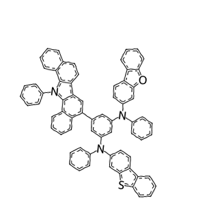 c1ccc(N(c2cc(-c3cc4c5ccc6ccccc6c5n(-c5ccccc5)c4c4ccccc34)cc(N(c3ccccc3)c3ccc4c(c3)sc3ccccc34)c2)c2ccc3c(c2)oc2ccccc23)cc1